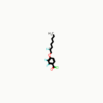 CCCCCC[C@H](F)COc1ccc(C(=O)Cl)c(F)c1F